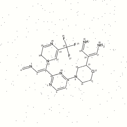 C=N/C=C(/c1nccc(N2CCOC(/C(C=N)=C/N)C2)n1)N1C=C(C(F)(F)F)N=CC1